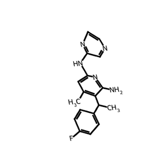 Cc1cc(Nc2cnccn2)nc(N)c1C(C)c1ccc(F)cc1